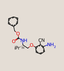 CC(C)[C@@H](COc1cccc(N)c1C#N)NC(=O)OCc1ccccc1